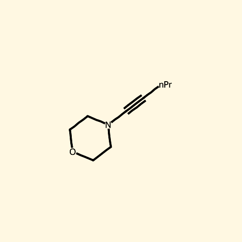 [CH2]CCC#CN1CCOCC1